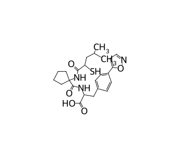 CC(C)CC(S)C(=O)NC1(C(=O)NC(Cc2ccc(-c3ccno3)cc2)C(=O)O)CCCC1